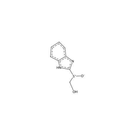 [O-][S+](CO)c1nc2ccccc2[nH]1